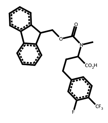 CN(C(=O)OCC1c2ccccc2-c2ccccc21)C(CCc1ccc(C(F)(F)F)c(F)c1)C(=O)O